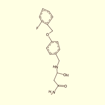 NC(=O)CC(O)NCc1ccc(OCc2ccccc2F)cc1